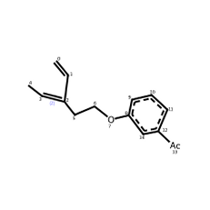 C=C/C(=C\C)CCOc1cccc(C(C)=O)c1